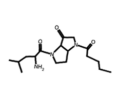 CCCCC(=O)N1CC(=O)C2C1CCN2C(=O)C(N)CC(C)C